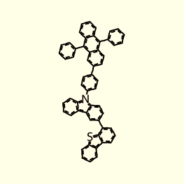 c1ccc(-c2c3ccccc3c(-c3ccccc3)c3cc(-c4ccc(-n5c6ccccc6c6cc(-c7cccc8c7sc7ccccc78)ccc65)cc4)ccc23)cc1